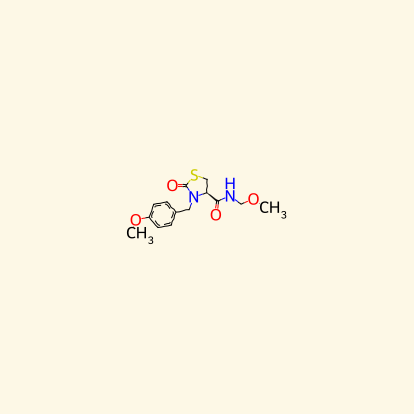 COCNC(=O)[C@@H]1CSC(=O)N1Cc1ccc(OC)cc1